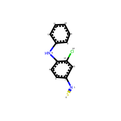 S=Nc1ccc(Nc2ccccc2)c(Cl)c1